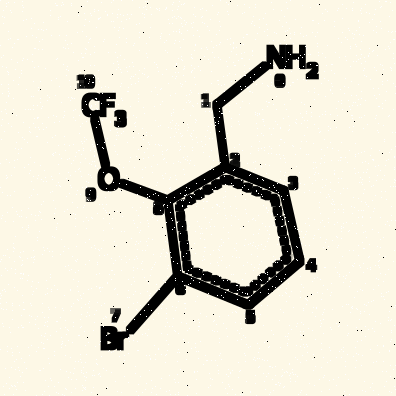 NCc1cccc(Br)c1OC(F)(F)F